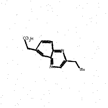 CC(C)(C)Cc1cnc2cc(CC(=O)O)ccc2n1